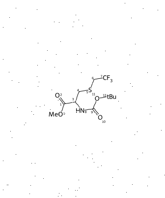 COC(=O)C(CSCC(F)(F)F)NC(=O)OC(C)(C)C